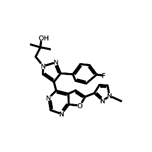 Cn1ccc(-c2cc3c(-c4cn(CC(C)(C)O)nc4-c4ccc(F)cc4)ncnc3o2)n1